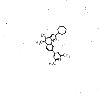 C=C1c2ccc(-c3cc(C)nc(C)c3)cc2-n2nc(C3CCCCCC3)cc2N1CC